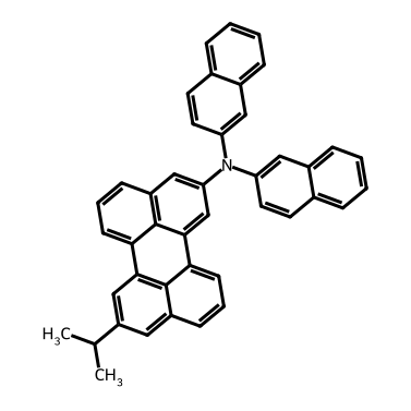 CC(C)c1cc2cccc3c4cc(N(c5ccc6ccccc6c5)c5ccc6ccccc6c5)cc5cccc(c(c1)c23)c54